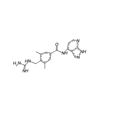 Cc1cc(C(=O)Nc2ccnc3[nH]ncc23)cc(C)c1CNC(=N)N